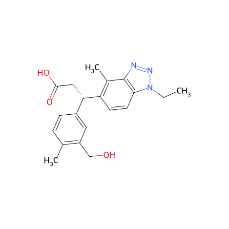 CCn1nnc2c(C)c([C@@H](CC(=O)O)c3ccc(C)c(CO)c3)ccc21